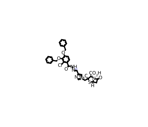 C[C@@]1(Cn2cnc(/C=N/NC(=O)c3ccc(OCc4ccccc4)c(OCc4ccccc4)c3Cl)c2)S[C@@H]2CC(=O)N2[C@H]1C(=O)O